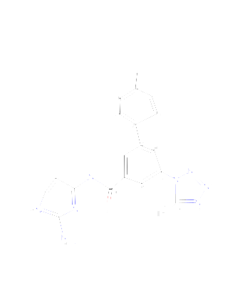 Cc1ccc(-c2cc(C(=O)Nc3ccnc(N)n3)cc(-n3nnnc3C(C)C)c2)cc1